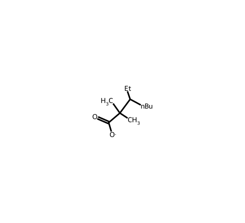 CCCCC(CC)C(C)(C)C([O])=O